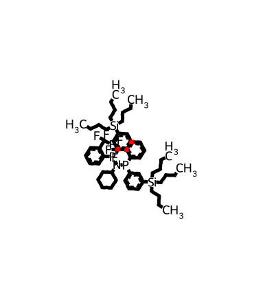 CCCC[Si](CCCC)(CCCC)c1cccc(P(c2ccccc2C(F)(F)F)N(C2CCCCC2)P(c2cccc([Si](CCCC)(CCCC)CCCC)c2)c2ccccc2C(F)(F)F)c1